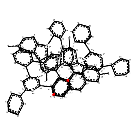 Cc1ccc2c(c1)c1cc(C)ccc1n2-c1ccccc1-c1ccc(-c2ccccc2-c2cc(-c3ccccc3)nc(-c3ccccc3)n2)c2c(-c3ccccc3-n3c4ccc(C)cc4c4cc(C)ccc43)cc(-c3ccccc3-c3cc(-c4ccccc4)nc(-c4ccccc4)n3)cc12